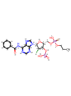 N#CCCOP(O)(=S)OC[C@H]1O[C@@H](n2cnc3c(NC(=O)c4ccccc4)ncnc32)[C@H](F)[C@@H]1O[PH](=O)O